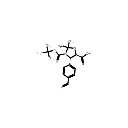 CC(C)(C)OC(=O)N1[C@@H](c2ccc(C=O)cc2)[C@H](C(=O)O)OC1(C)C